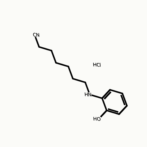 Cl.N#CCCCCCCNc1ccccc1O